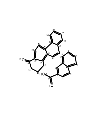 O=C(O)c1ccc2ccccc2c1.O=C1CCCc2c1ccc1c2ccc2ccccc21